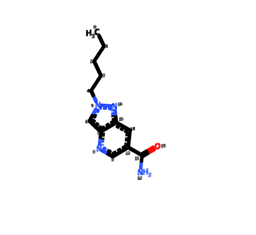 CCCCCn1cc2ncc(C(N)=O)cc2n1